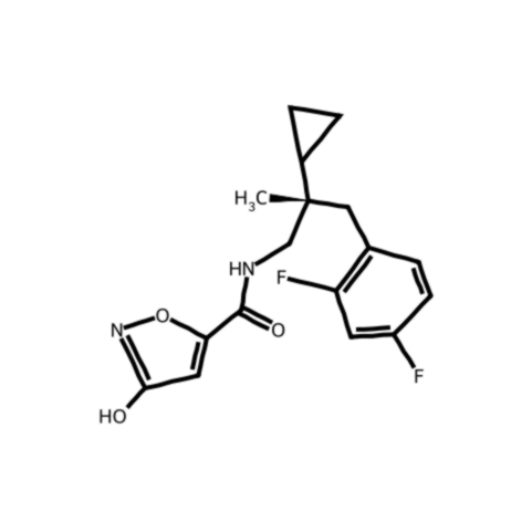 C[C@](CNC(=O)c1cc(O)no1)(Cc1ccc(F)cc1F)C1CC1